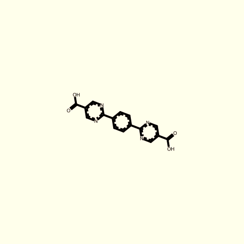 O=C(O)c1cnc(-c2ccc(-c3ncc(C(=O)O)cn3)cc2)nc1